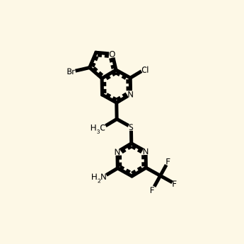 CC(Sc1nc(N)cc(C(F)(F)F)n1)c1cc2c(Br)coc2c(Cl)n1